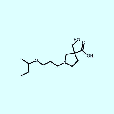 CCC(C)OCCCN1CCC(CO)(C(=O)O)C1